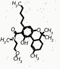 CCCCCc1cc2c(c(O)c1C(=O)N(C)CCOC)C1C=C(C)CCC1C(C)(C)O2